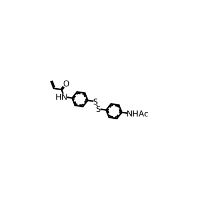 C=CC(=O)Nc1ccc(SSc2ccc(NC(C)=O)cc2)cc1